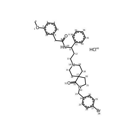 COc1cccc(CC(=O)NC(CCN2CCC3(CC2)CCN(Cc2ccc(Br)cc2)C3=O)c2ccccc2)c1.Cl